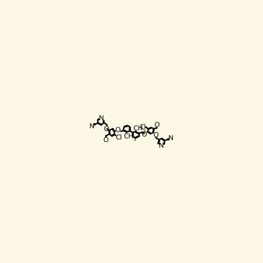 Cc1c(COc2cc(OCc3cncc(C#N)c3)c(C=O)cc2Cl)cccc1-c1cccc(COc2cc(OCc3cncc(C#N)c3)c(C=O)cc2Cl)c1C